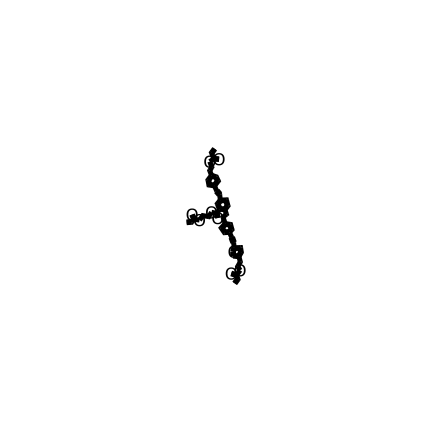 C=CC(=O)OCCOC(=O)c1cc(C#Cc2ccc(CCOC(=O)C=C)cc2)ccc1CCc1ccc(C#Cc2ccc(CCOC(=O)C=C)cc2)cc1